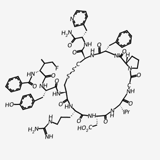 CC(C)[C@@H]1NC(=O)[C@H](CC(=O)O)NC(=O)[C@H](CCCNC(=N)N)NC(=O)[C@@H](NC(=O)[C@H](Cc2ccc(O)cc2)NC(=O)[C@H](NC(=O)c2ccccc2)C(C)CF)CSSC[C@@H](C(=O)N[C@@H](Cc2cccnc2)C(N)=O)NC(=O)[C@H](Cc2ccccc2)NC(=O)[C@@H]2CCCN2C(=O)CNC1=O